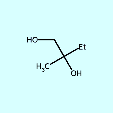 [CH2]CC(C)(O)CO